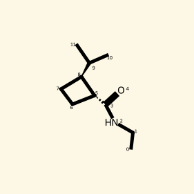 CCNC(=O)[C@@H]1CC[C@H]1C(C)C